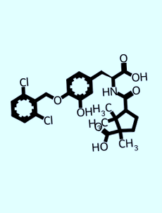 CC1(C(=O)O)CCC(C(=O)N[C@@H](Cc2ccc(OCc3c(Cl)cccc3Cl)c(O)c2)C(=O)O)C1(C)C